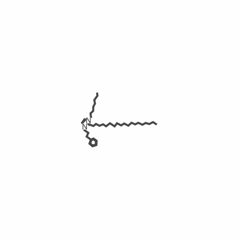 CCCCCCCCCCCCCCCCCCCc1n(CCCCCCCC)cc[n+]1CCCc1ccccc1